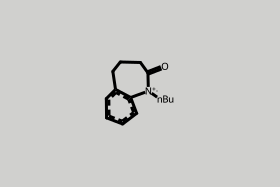 CCCC[N+]1C(=O)CCCc2ccccc21